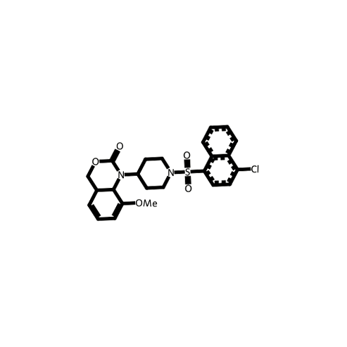 COC1=CC=CC2COC(=O)N(C3CCN(S(=O)(=O)c4ccc(Cl)c5ccccc45)CC3)C12